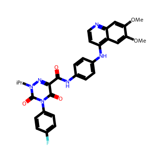 COc1cc2nccc(Nc3ccc(NC(=O)c4nn(C(C)C)c(=O)n(-c5ccc(F)cc5)c4=O)cc3)c2cc1OC